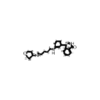 O=c1[nH]nc(-c2cccc(NCCCCCNC3CCOCC3)c2)c2ccccc12